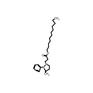 C=C1CCN(CCC(=O)OCCCCCCCCCCCC)N1c1ccccc1